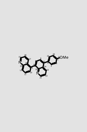 COc1ccc(-c2ccc(-c3cccc4ncccc34)c3ncccc23)cc1